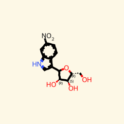 O=[N+]([O-])c1ccc2c(C3O[C@H](CO)[C@@H](O)[C@H]3O)c[nH]c2c1